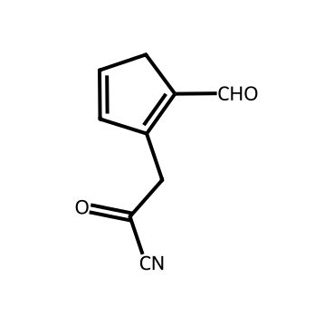 N#CC(=O)CC1=C(C=O)CC=C1